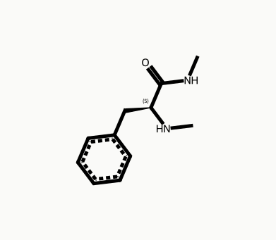 CNC(=O)[C@H](Cc1ccccc1)NC